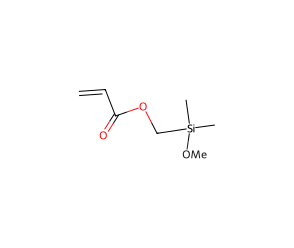 C=CC(=O)OC[Si](C)(C)OC